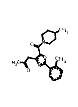 CC(=O)Cc1nc(-c2ccccc2C)sc1C(=O)N1CCC(C)CC1